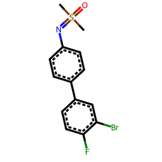 CS(C)(=O)=Nc1ccc(-c2ccc(F)c(Br)c2)cc1